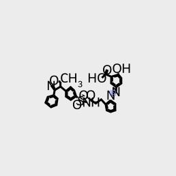 CC1ON=C(c2ccccc2)C1c1ccc(S(=O)(=O)NC(=O)CCc2ccccc2/N=N/c2ccc(O)c(C(=O)O)c2)cc1